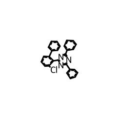 Clc1cccc(-c2ccccc2)c1-c1nc(-c2ccccc2)nc(-c2ccccc2)n1